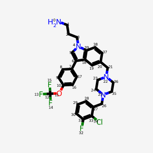 NCCCn1cc(-c2ccc(OC(F)(F)F)cc2)c2cc(CN3CCN(Cc4cccc(F)c4Cl)CC3)ccc21